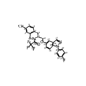 Cc1cc(Cl)ccc1C[C@@H](COc1ccc2c(cnn2-c2ccc(F)cc2)c1)NC(=O)C(F)(F)F